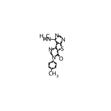 CNc1ncnc2sc3c(=O)n(-c4ccc(C)cc4)cnc3c12